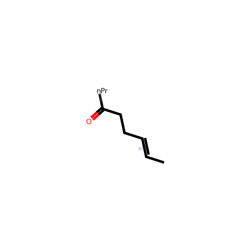 C/C=C/CCC(=O)CCC